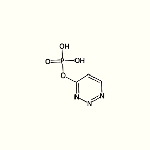 O=P(O)(O)Oc1ccnnn1